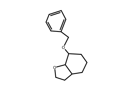 c1ccc(COC2CCCC3CCOC32)cc1